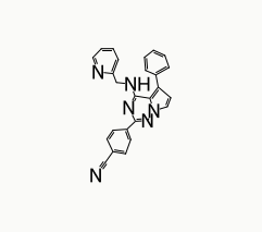 N#Cc1ccc(-c2nc(NCc3ccccn3)c3c(-c4ccccc4)ccn3n2)cc1